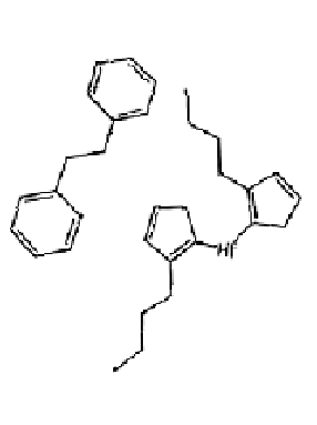 CCCCC1=[C]([Hf][C]2=C(CCCC)C=CC2)CC=C1.c1ccc(CCc2ccccc2)cc1